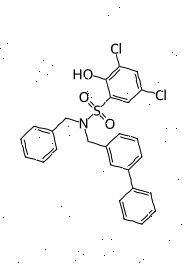 O=S(=O)(c1cc(Cl)cc(Cl)c1O)N(Cc1ccccc1)Cc1cccc(-c2ccccc2)c1